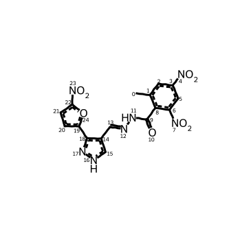 Cc1cc([N+](=O)[O-])cc([N+](=O)[O-])c1C(=O)NN=Cc1c[nH]nc1-c1ccc([N+](=O)[O-])o1